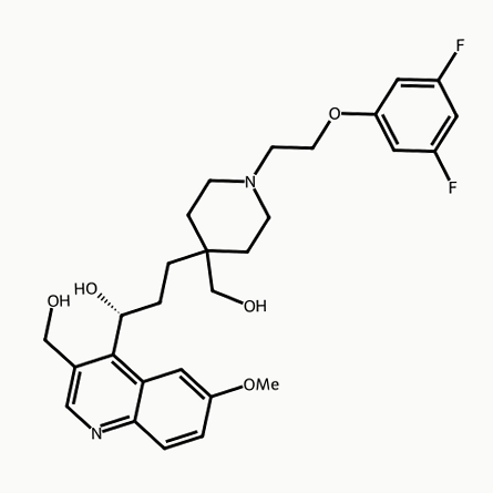 COc1ccc2ncc(CO)c([C@H](O)CCC3(CO)CCN(CCOc4cc(F)cc(F)c4)CC3)c2c1